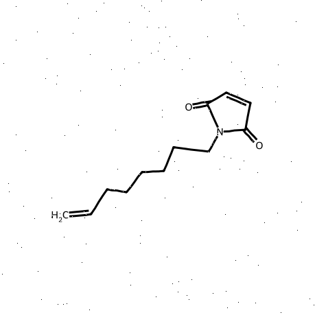 C=CCCCCCCN1C(=O)C=CC1=O